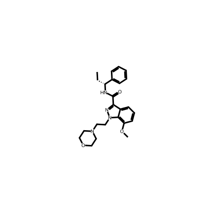 CC[C@@H](NC(=O)c1nn(CCN2CCOCC2)c2c(OC)cccc12)c1ccccc1